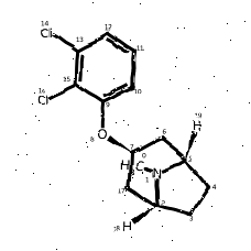 CN1[C@@H]2CC[C@H]1C[C@H](Oc1cccc(Cl)c1Cl)C2